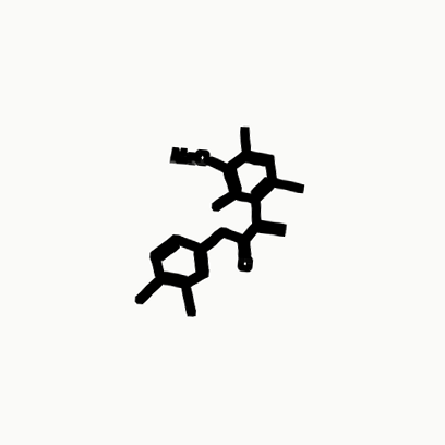 C=C(C(=O)Cc1ccc(C)c(C)c1)c1c(C)cc(C)c(OC)c1C